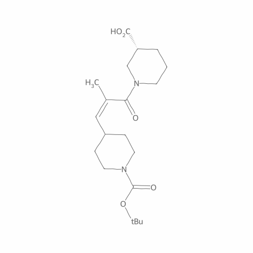 CC(=CC1CCN(C(=O)OC(C)(C)C)CC1)C(=O)N1CCC[C@@H](C(=O)O)C1